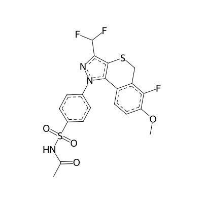 COc1ccc2c(c1F)CSc1c(C(F)F)nn(-c3ccc(S(=O)(=O)NC(C)=O)cc3)c1-2